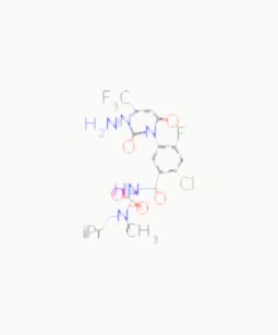 CC(C)CN(C)S(=O)(=O)NC(=O)c1cc(-n2c(=O)cc(C(F)(F)F)n(N)c2=O)c(F)cc1Cl